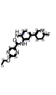 C=C(/C=C(NC(=O)c1cnc(OCC)cn1)\C(N)=C/C)C1=CN=C(F)CC1